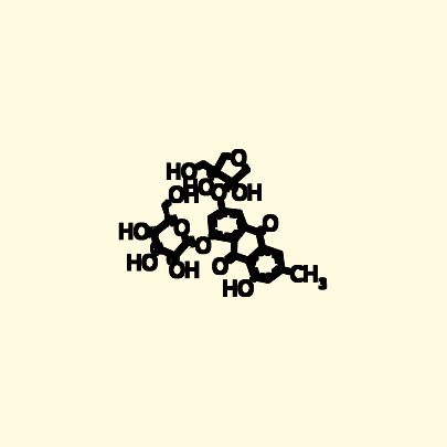 Cc1cc(O)c2c(c1)C(=O)c1cc(O[C@]3(O)COC[C@]3(O)CO)cc(O[C@@H]3O[C@H](CO)[C@@H](O)[C@H](O)[C@H]3O)c1C2=O